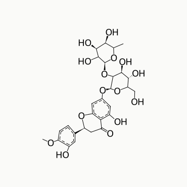 COc1ccc([C@@H]2CC(=O)c3c(O)cc(O[C@@H]4OC(CO)[C@@H](O)[C@H](O)C4O[C@@H]4OC(C)[C@H](O)[C@H](O)C4O)cc3O2)cc1O